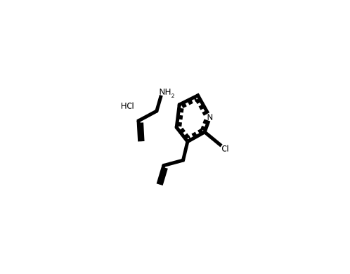 C=CCN.C=CCc1cccnc1Cl.Cl